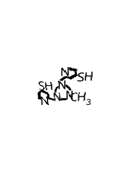 CN1CCN(Cc2cc(S)ccn2)CCN(Cc2cc(S)ccn2)CC1